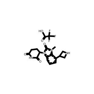 Cn1c(=O)n(C2CCC(=O)NC2=O)c2cccc(C3CNC3)c21.O=C(O)C(F)(F)F